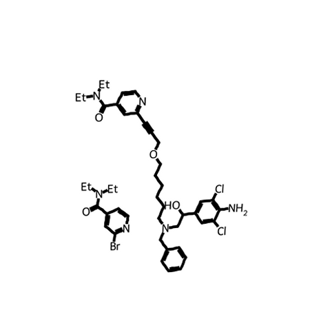 CCN(CC)C(=O)c1ccnc(Br)c1.CCN(CC)C(=O)c1ccnc(C#CCOCCCCCCN(Cc2ccccc2)CC(O)c2cc(Cl)c(N)c(Cl)c2)c1